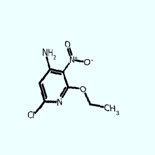 CCOc1nc(Cl)cc(N)c1[N+](=O)[O-]